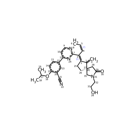 C=C1/C(=C(\C=C/C)c2nccc(-c3ccc(OC(C)C)c(C#N)c3)n2)CC[C@@]12CC(=O)N(CCO)C2